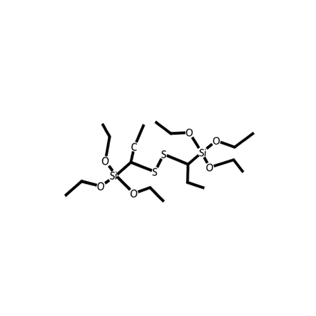 CCO[Si](OCC)(OCC)C(CC)SSC(CC)[Si](OCC)(OCC)OCC